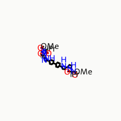 COC(=O)NC(C(=O)N1CCCC1c1ccc(-c2ccc(-c3ccc(-c4cnc([C@@H]5COC6(C)N(C(=O)OC)C(C(C)C)C(=O)N56)[nH]4)cc3)cc2)[nH]1)C(C)C